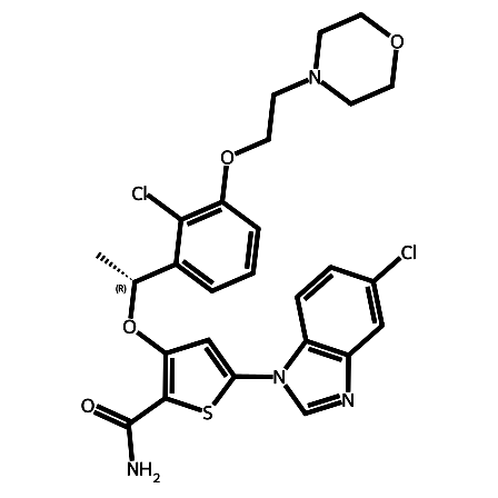 C[C@@H](Oc1cc(-n2cnc3cc(Cl)ccc32)sc1C(N)=O)c1cccc(OCCN2CCOCC2)c1Cl